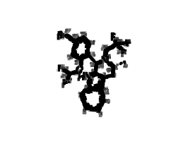 C[C@@H]1Cc2c([nH]c3ccccc23)[C@@H](c2ccc(Br)cc2OC(F)F)N1CC(F)(F)F